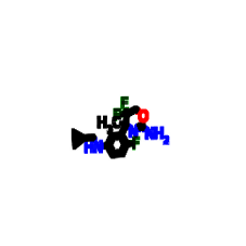 C[C@]1(c2cc(NCC3CC3)ccc2F)N=C(N)OCC1(F)F